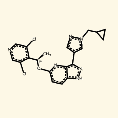 C[C@@H](Oc1ccc2[nH]nc(-c3cnn(CC4CC4)c3)c2n1)c1c(Cl)cncc1Cl